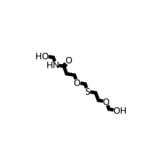 O=C(CCOCSCCOCO)NCO